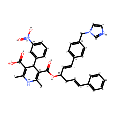 CC1=C(C(=O)O)C(c2cccc([N+](=O)[O-])c2)C(C(=O)OC(C=Cc2ccc(Cn3ccnc3)cc2)CC=Cc2ccccc2)=C(C)N1